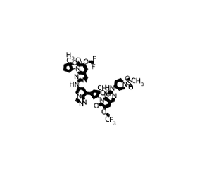 C[C@@]1(O)CC(C2CC(Nc3ncc4cc(OC(F)F)c(=O)n([C@@H]5CCC[C@@]5(C)O)c4n3)Cn3cnnc32)C[C@H]1n1c(=O)c(OCC(F)(F)F)cc2cnc(NC3CCN(S(C)(=O)=O)CC3)nc21